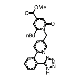 CCCCc1cc(C(=O)OC)cc(=O)n1Cc1ccc(-c2ccccc2-c2nnn[nH]2)nc1